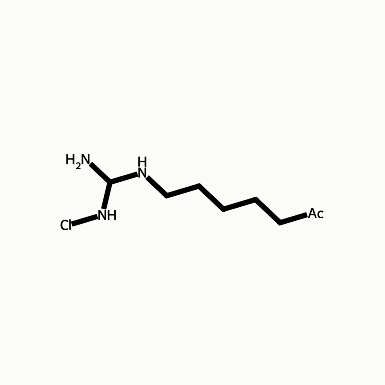 CC(=O)CCCCCNC(N)NCl